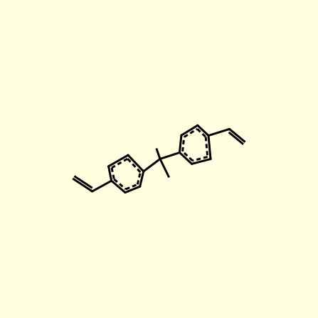 C=Cc1ccc(C(C)(C)c2ccc(C=C)cc2)cc1